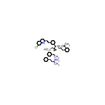 C=C(C)c1ccccc1CCCS[C@@H](c1cccc(C=Cc2ccc3ccc(Cl)cc3n2)c1)C1(CC(=O)O)CC1.C=Cc1ccccc1.CC(N)CCc1ccccc1